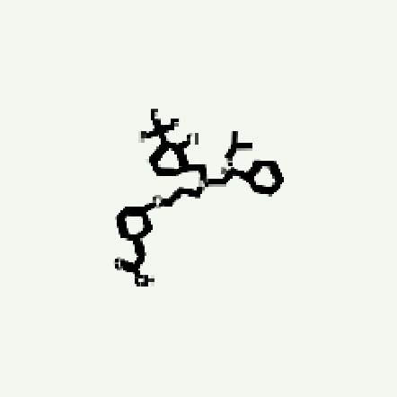 CC(C)C[C@@H](CN(CCCOC1=CC=CC(=CC(=O)O)C1)Cc1cccc(C(F)(F)F)c1Cl)c1ccccc1